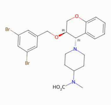 CN(C(=O)O)C1CCN([C@H]2c3ccccc3OC[C@@H]2OCc2cc(Br)cc(Br)c2)CC1